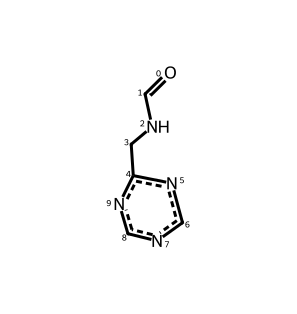 O=[C]NCc1ncncn1